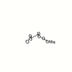 COCCOCCOC(=O)CCCCC(=O)OCc1ccccc1